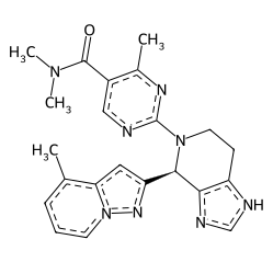 Cc1nc(N2CCc3[nH]cnc3[C@H]2c2cc3c(C)cccn3n2)ncc1C(=O)N(C)C